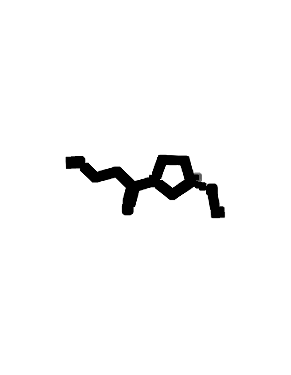 CCO[C@H]1CCN(C(=O)CCO)C1